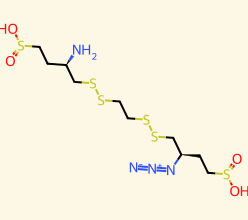 [N-]=[N+]=N[C@H](CCS(=O)O)CSSCCSSC[C@H](N)CCS(=O)O